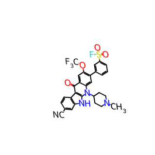 CN1CCC(n2c3cc(-c4cccc(S(=O)(=O)F)c4)c(OC(F)(F)F)cc3c(=O)c3c4ccc(C#N)cc4[nH]c32)CC1